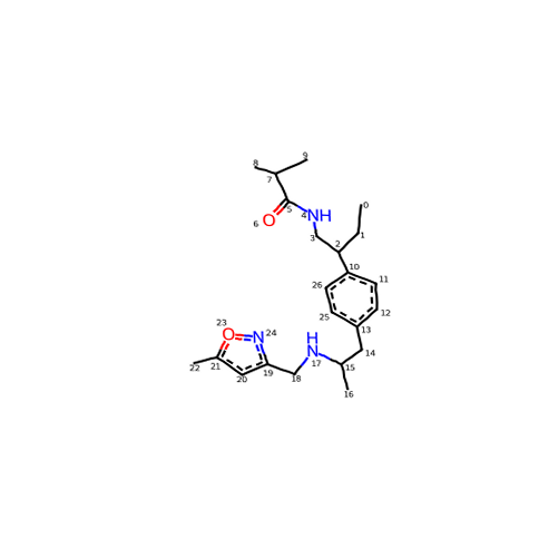 CCC(CNC(=O)C(C)C)c1ccc(CC(C)NCc2cc(C)on2)cc1